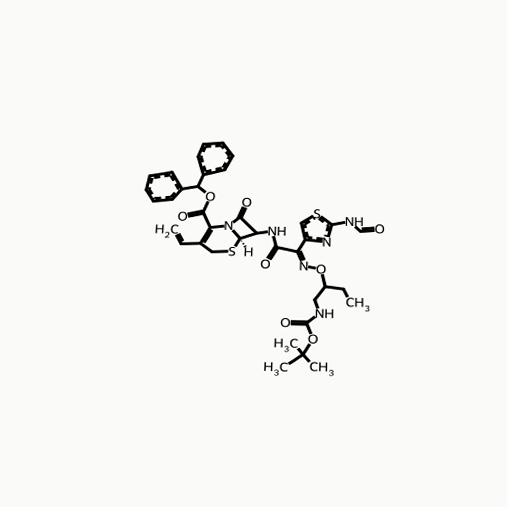 C=CC1=C(C(=O)OC(c2ccccc2)c2ccccc2)N2C(=O)C(NC(=O)/C(=N/OC(CC)CNC(=O)OC(C)(C)C)c3csc(NC=O)n3)[C@H]2SC1